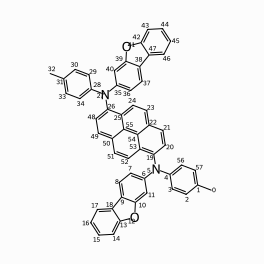 Cc1ccc(N(c2ccc3c(c2)oc2ccccc23)c2ccc3ccc4c(N(c5ccc(C)cc5)c5ccc6c(c5)oc5ccccc56)ccc5ccc2c3c54)cc1